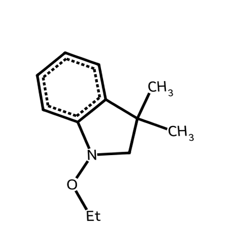 CCON1CC(C)(C)c2ccccc21